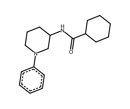 O=C(NC1CCCN(c2ccccc2)C1)C1CCCCC1